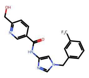 O=C(Nc1cn(Cc2cccc(C(F)(F)F)c2)cn1)c1ccc(CO)nc1